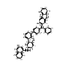 c1ccc(N(c2ccc(-c3cccc4c3sc3ccc(Nc5cccc6ccccc56)cc34)cc2)c2ccc3c(c2)oc2ccccc23)cc1